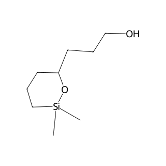 C[Si]1(C)CCCC(CCCO)O1